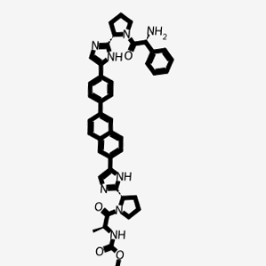 COC(=O)N[C@@H](C)C(=O)N1CCC[C@H]1c1ncc(-c2ccc3cc(-c4ccc(-c5cnc([C@@H]6CCCN6C(=O)[C@H](N)c6ccccc6)[nH]5)cc4)ccc3c2)[nH]1